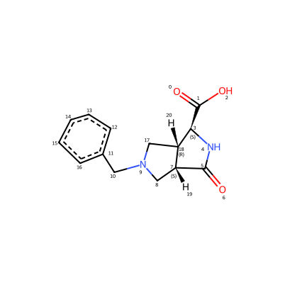 O=C(O)[C@H]1NC(=O)[C@@H]2CN(Cc3ccccc3)C[C@H]12